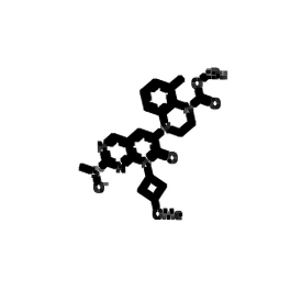 COC1CC(n2c(=O)c(N3CCN(C(=O)OC(C)(C)C)c4c(C)cccc43)cc3cnc([S+](C)[O-])nc32)C1